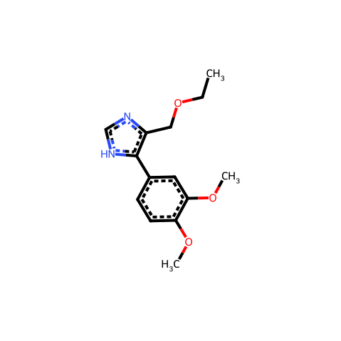 CCOCc1nc[nH]c1-c1ccc(OC)c(OC)c1